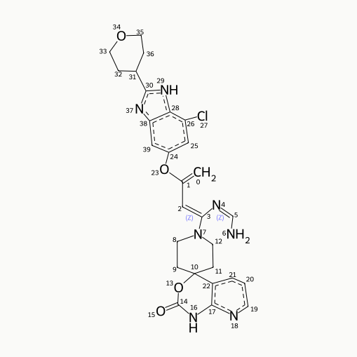 C=C(/C=C(\N=C/N)N1CCC2(CC1)OC(=O)Nc1ncccc12)Oc1cc(Cl)c2[nH]c(C3CCOCC3)nc2c1